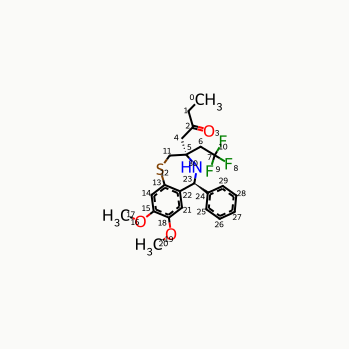 CCC(=O)C[C@@]1(CC(F)(F)F)CSc2cc(OC)c(OC)cc2[C@H](c2ccccc2)N1